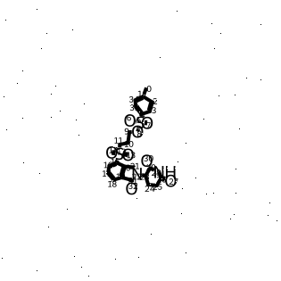 Cc1ccc(S(=O)(=O)OCCCS(=O)(=O)c2cccc3c2CN(C2CCC(=O)NC2=O)C3=O)cc1